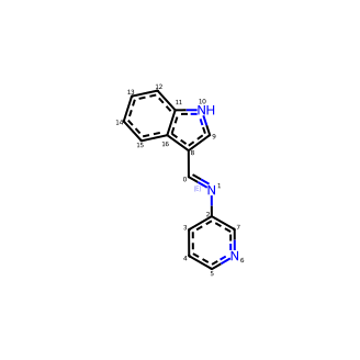 C(=N\c1cccnc1)/c1c[nH]c2ccccc12